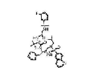 CC(C)CN(C[C@@H](O)[C@H](Cc1ccccc1)N1SC(C)(C)[C@H](NC(=O)CNC(C)(C)c2cccc(F)c2)C1=O)S(=O)(=O)c1ccc2ncccc2c1